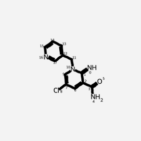 N=c1c(C(N)=O)cc(Cl)cn1Cc1cccnc1